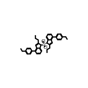 CCCC1=Cc2c(-c3ccc(CC)cc3)cccc2[CH]1[Zr]([Cl])([Cl])[CH]1C(CCC)=Cc2c(-c3ccc(CC)cc3)cccc21